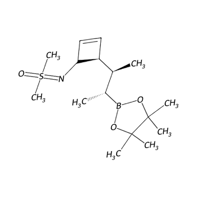 C[C@H]([C@@H]1C=CC1N=S(C)(C)=O)[C@@H](C)B1OC(C)(C)C(C)(C)O1